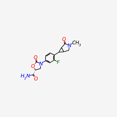 CN1CC2C(C1=O)C2c1ccc(N2C[C@H](C(N)=O)OC2=O)cc1F